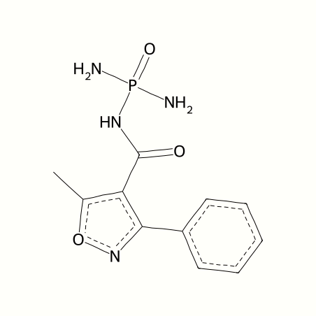 Cc1onc(-c2ccccc2)c1C(=O)NP(N)(N)=O